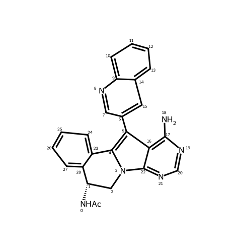 CC(=O)N[C@H]1Cn2c(c(-c3cnc4ccccc4c3)c3c(N)ncnc32)-c2ccccc21